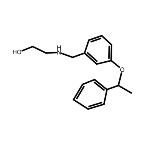 CC(Oc1cccc(CNCCO)c1)c1ccccc1